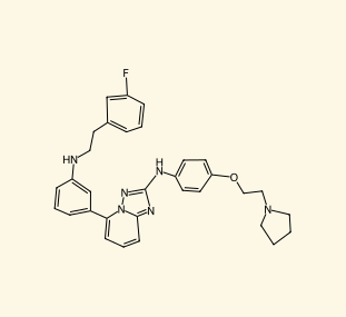 Fc1cccc(CCNc2cccc(-c3cccc4nc(Nc5ccc(OCCN6CCCC6)cc5)nn34)c2)c1